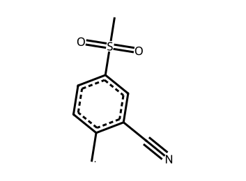 [CH2]c1ccc(S(C)(=O)=O)cc1C#N